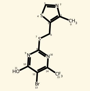 Cc1ncsc1CSc1nc(O)c(Br)c(C(F)(F)F)n1